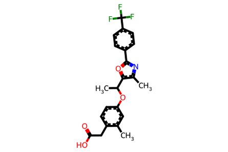 Cc1cc(OC(C)c2oc(-c3ccc(C(F)(F)F)cc3)nc2C)ccc1CC(=O)O